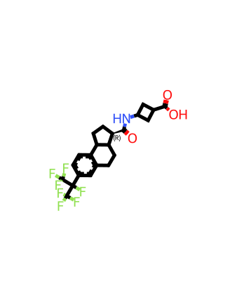 O=C(O)C1CC(NC(=O)[C@@H]2CCC3c4ccc(C(F)(C(F)(F)F)C(F)(F)F)cc4CCC32)C1